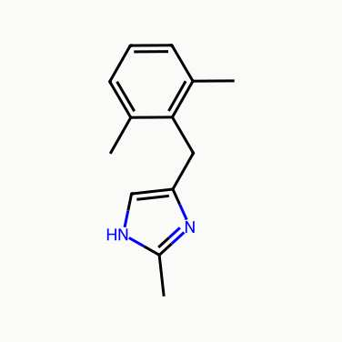 Cc1nc(Cc2c(C)cccc2C)c[nH]1